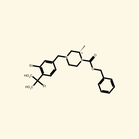 CCc1cc(CN2CCN(C(=O)OCc3ccccc3)[C@@H](C)C2)ccc1C(CC)(C(=O)O)C(=O)O